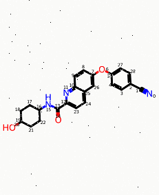 N#Cc1ccc(Oc2ccc3nc(C(=O)NC4CCC(O)CC4)ccc3c2)cc1